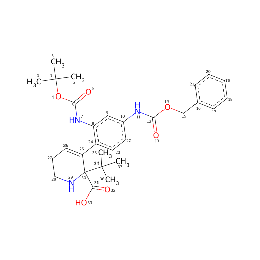 CC(C)(C)OC(=O)Nc1cc(NC(=O)OCc2ccccc2)ccc1C1=CCCNC1(C(=O)O)C(C)(C)C